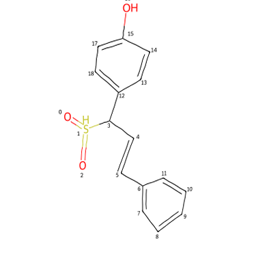 O=[SH](=O)C(C=Cc1ccccc1)c1ccc(O)cc1